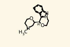 CN1CCOC([C@@H]2OCCn3nc4ccccc4c32)C1